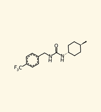 C[C@H]1CC[C@H](NC(=O)NCc2ccc(C(F)(F)F)cc2)CC1